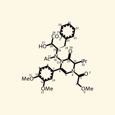 COCC(=O)N1C=C(c2ccc(OC)c(OC)c2)N(N(C(C)=O)[C@@H](Cc2ccccc2)C(O)C(=O)O)C(=O)C1C(C)C